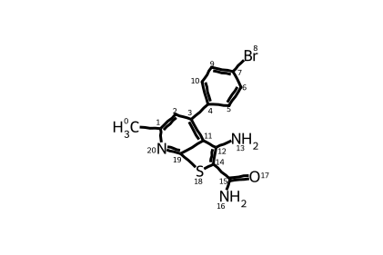 Cc1cc(-c2ccc(Br)cc2)c2c(N)c(C(N)=O)sc2n1